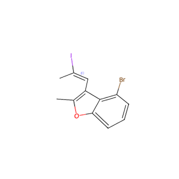 C/C(I)=C\c1c(C)oc2cccc(Br)c12